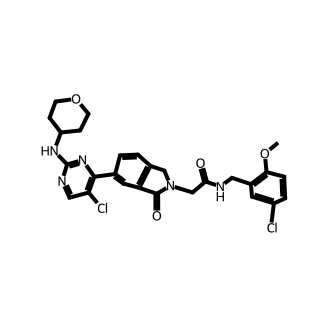 COc1ccc(Cl)cc1CNC(=O)CN1Cc2ccc(-c3nc(NC4CCOCC4)ncc3Cl)cc2C1=O